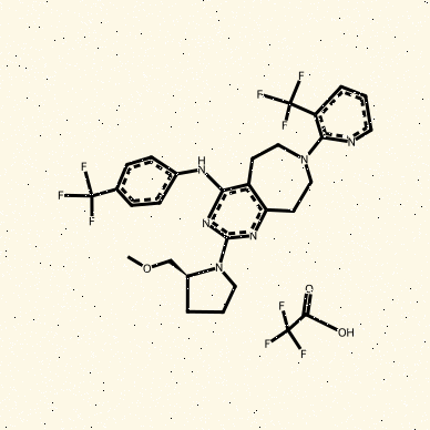 COC[C@@H]1CCCN1c1nc2c(c(Nc3ccc(C(F)(F)F)cc3)n1)CCN(c1ncccc1C(F)(F)F)CC2.O=C(O)C(F)(F)F